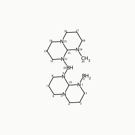 BN1CCCN2CCCN(BN3CCCN4CCCN(C)C34)C12